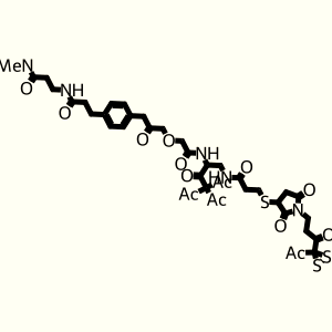 CNC(=O)CCNC(=O)CCc1ccc(CC(=O)COCC(=O)NC(CNC(=O)CCSC2CC(=O)N(CCC(=O)C3(C(C)=O)SS3)C2=O)C(=O)C(C(C)=O)(C(C)=O)C(C)=O)cc1